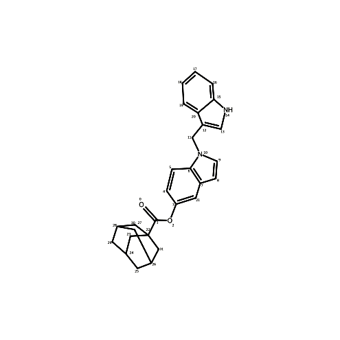 O=C(Oc1ccc2c(ccn2Cc2c[nH]c3ccccc23)c1)C12CC3CC(CC(C3)C1)C2